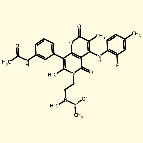 CC(=O)Nc1cccc(-c2c(C)n(CCN(C)[S+](C)[O-])c(=O)c3c(Nc4ccc(C)cc4F)c(C)c(=O)oc23)c1